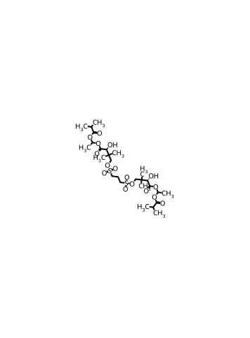 CC(OC(=O)C(C)C)OC(=O)[C@@H](O)C(C)(C)COS(=O)(=O)CCCS(=O)(=O)OCC(C)(C)[C@H](O)C(=O)OC(C)OC(=O)C(C)C